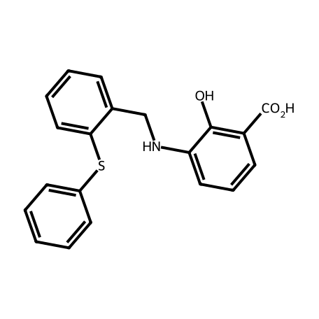 O=C(O)c1cccc(NCc2ccccc2Sc2ccccc2)c1O